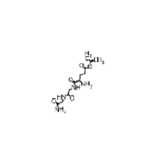 C=C(C)OC(=O)CCC(N)C(=O)NCC(=O)NCC(N)=O